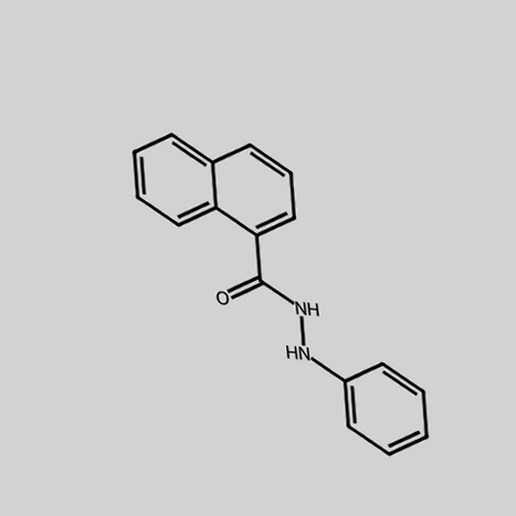 O=C(NNc1ccccc1)c1cccc2ccccc12